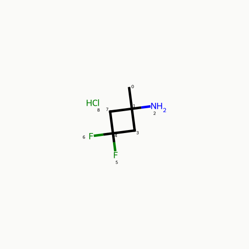 CC1(N)CC(F)(F)C1.Cl